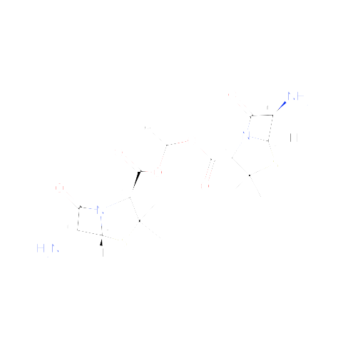 CC(C)C(OC(=O)[C@@H]1N2C(=O)[C@@H](N)[C@H]2SC1(C)C)OC(=O)[C@@H]1N2C(=O)[C@@H](N)[C@H]2SC1(C)C